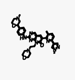 Cc1ccc(-c2cnn(C)c2)nc1-c1cc2cnc(Nc3ccc(C4CN(C)CCO4)cc3)nc2n(CCN2CCOCC2)c1=O